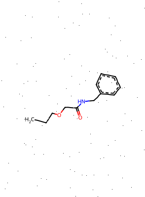 [CH2]CCOCC(=O)NCc1ccccc1